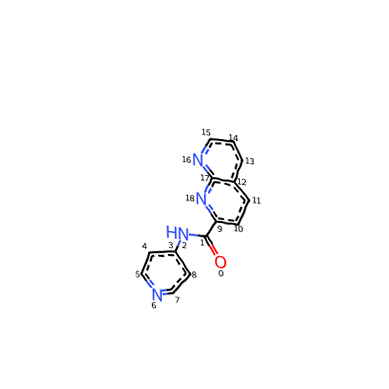 O=C(Nc1ccncc1)c1ccc2cccnc2n1